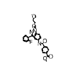 COCCOCn1nc(-c2ccccc2F)c2cc(N(C)C(=O)c3ccc(C(=O)OC)cc3)ccc21